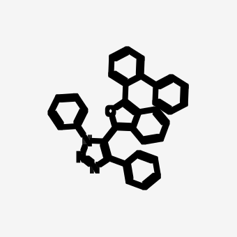 c1ccc(-c2ccccc2-c2oc(-c3c(-c4ccccc4)nnn3-c3ccccc3)c3ccccc23)cc1